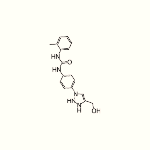 Cc1ccccc1NC(=O)Nc1ccc(N2C=C(CO)NN2)cc1